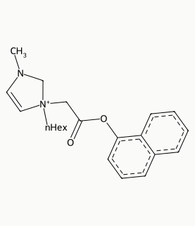 CCCCCC[N+]1(CC(=O)Oc2cccc3ccccc23)C=CN(C)C1